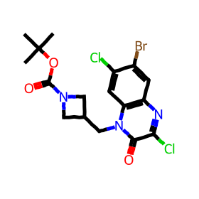 CC(C)(C)OC(=O)N1CC(Cn2c(=O)c(Cl)nc3cc(Br)c(Cl)cc32)C1